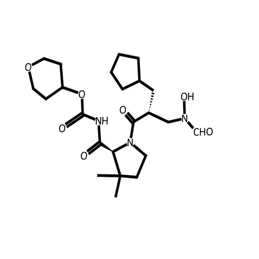 CC1(C)CCN(C(=O)[C@H](CC2CCCC2)CN(O)C=O)[C@@H]1C(=O)NC(=O)OC1CCOCC1